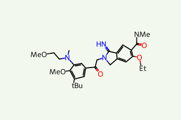 CCOc1cc2c(cc1C(=O)NC)C(=N)N(CC(=O)c1cc(N(C)CCOC)c(OC)c(C(C)(C)C)c1)C2